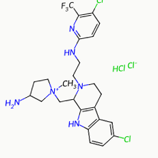 C[N+]1(CC2c3[nH]c4ccc(Cl)cc4c3CCN2CCNc2ccc(Cl)c(C(F)(F)F)n2)CCC(N)C1.Cl.[Cl-]